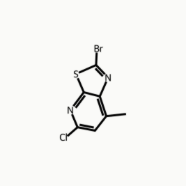 Cc1cc(Cl)nc2sc(Br)nc12